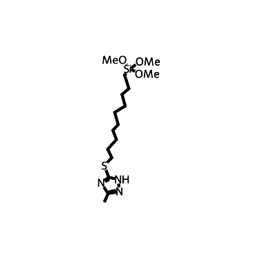 CO[Si](CCCCCCCCCCSc1nc(C)n[nH]1)(OC)OC